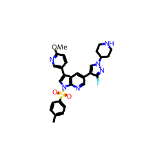 COc1ccc(-c2cn(S(=O)(=O)c3ccc(C)cc3)c3ncc(-c4cn(C5CCNCC5)nc4F)cc23)cn1